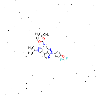 CC(C)n1cc(-c2ccnc3c2c(C2CN(C(=O)OC(C)(C)C)C2)nn3-c2ccc(OC(F)(F)F)cc2)cn1